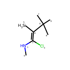 CNC(Cl)=C([SiH3])C(C)(C)C